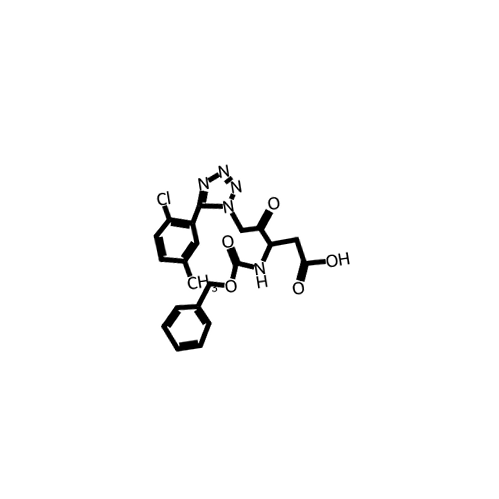 Cc1ccc(Cl)c(-c2nnnn2CC(=O)C(CC(=O)O)NC(=O)OCc2ccccc2)c1